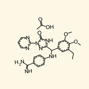 CC(=O)O.CCc1cc(C(Nc2ccc(C(=N)N)cc2)c2nn(-c3ncccn3)c(=O)[nH]2)cc(OC)c1OC